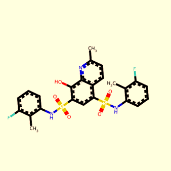 Cc1ccc2c(S(=O)(=O)Nc3cccc(F)c3C)cc(S(=O)(=O)Nc3cccc(F)c3C)c(O)c2n1